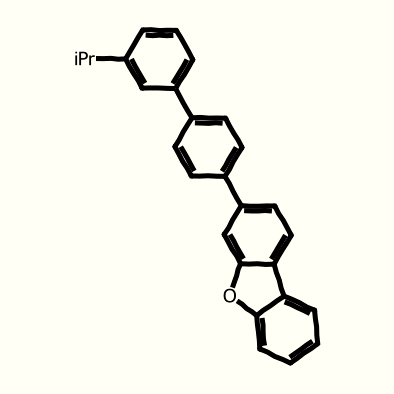 CC(C)c1cccc(-c2ccc(-c3ccc4c(c3)oc3ccccc34)cc2)c1